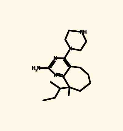 CCC(C)C1(C)CCCCc2c(N3CCNCC3)nc(N)nc21